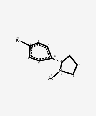 CC(=O)N1CCC[C@H]1c1ccc(Br)cc1